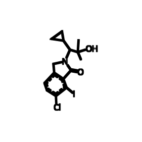 CC(C)(O)C(C1CC1)N1Cc2ccc(Cl)c(I)c2C1=O